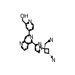 N#CC[C@]1(n2ccc(-c3nc(-c4ccnc(CO)c4)cc4ncccc34)n2)C[C@@H](C#N)C1